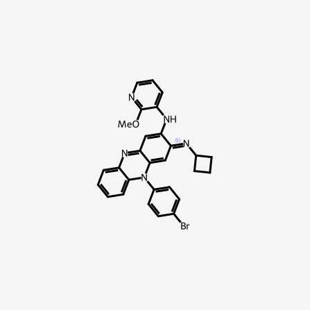 COc1ncccc1Nc1cc2nc3ccccc3n(-c3ccc(Br)cc3)c-2c/c1=N\C1CCC1